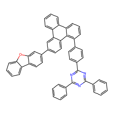 c1ccc(-c2nc(-c3ccccc3)nc(-c3ccc(-c4cccc5c6ccccc6c6cc(-c7ccc8c(c7)oc7ccccc78)ccc6c45)cc3)n2)cc1